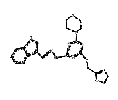 C(=N\Nc1nc(OCC2=NCCO2)nc(N2CCOCC2)n1)/c1c[nH]c2ccccc12